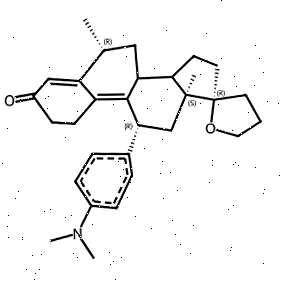 C[C@@H]1CC2C(=C3CCC(=O)C=C31)[C@@H](c1ccc(N(C)C)cc1)C[C@@]1(C)C2CC[C@@]12CCCO2